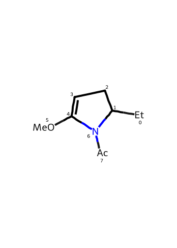 CCC1CC=C(OC)N1C(C)=O